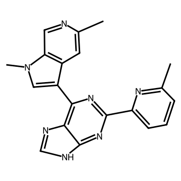 Cc1cc2c(-c3nc(-c4cccc(C)n4)nc4[nH]cnc34)cn(C)c2cn1